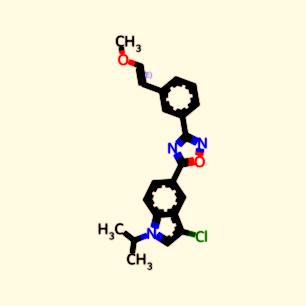 CO/C=C/c1cccc(-c2noc(-c3ccc4c(c3)c(Cl)cn4C(C)C)n2)c1